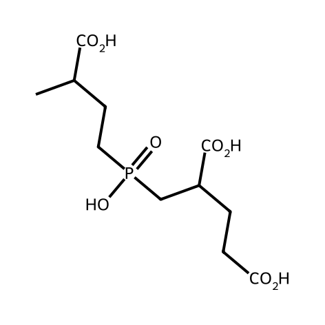 CC(CCP(=O)(O)CC(CCC(=O)O)C(=O)O)C(=O)O